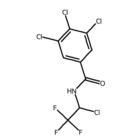 O=C(NC(Cl)C(F)(F)F)c1cc(Cl)c(Cl)c(Cl)c1